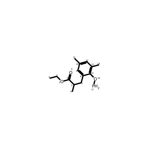 CCOC(=O)C(C)Cc1cc(C)cc(C)c1OP